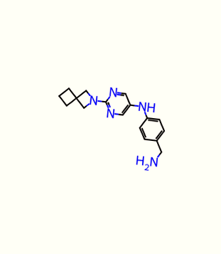 NCc1ccc(Nc2cnc(N3CC4(CCC4)C3)nc2)cc1